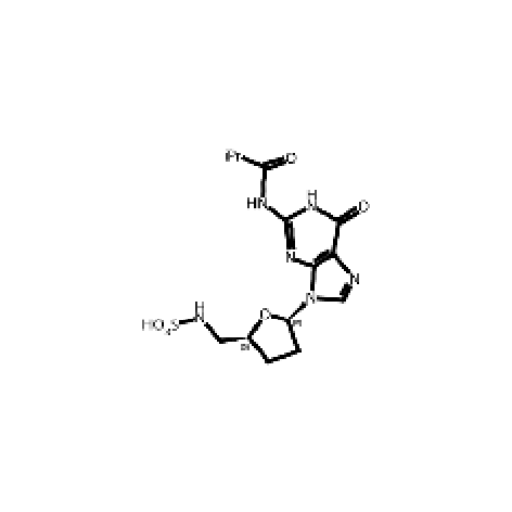 CC(C)C(=O)Nc1nc2c(ncn2[C@H]2CC[C@@H](CNS(=O)(=O)O)O2)c(=O)[nH]1